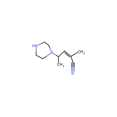 CC(C#N)=CC(C)N1CCNCC1